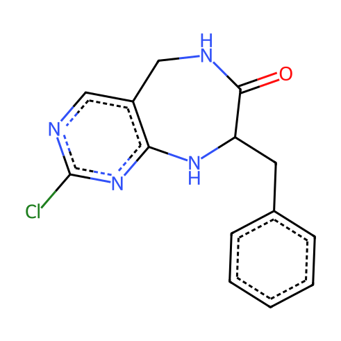 O=C1NCc2cnc(Cl)nc2NC1Cc1ccccc1